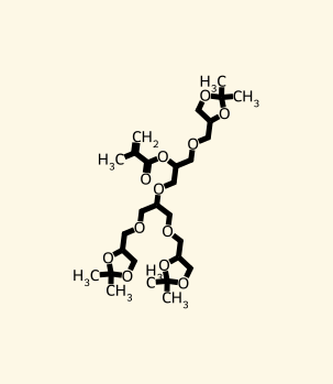 C=C(C)C(=O)OC(COCC1COC(C)(C)O1)COC(COCC1COC(C)(C)O1)COCC1COC(C)(C)O1